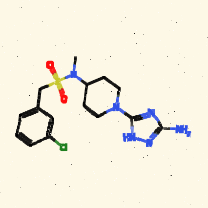 CN(C1CCN(c2nc(N)n[nH]2)CC1)S(=O)(=O)Cc1cccc(Cl)c1